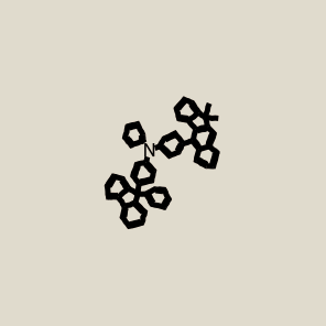 CC1(C)c2ccccc2-c2c1cc1ccccc1c2-c1ccc(N(c2ccccc2)c2ccc(C3(c4ccccc4)c4ccccc4-c4ccccc43)cc2)cc1